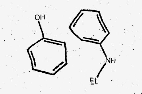 CCNc1ccccc1.Oc1ccccc1